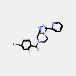 O=C(c1ccc(Cl)cc1F)N1CCn2c(nnc2-c2ccccn2)C1